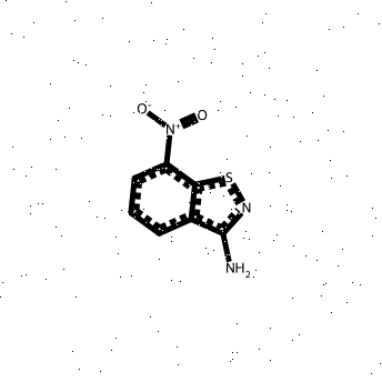 Nc1nsc2c([N+](=O)[O-])cccc12